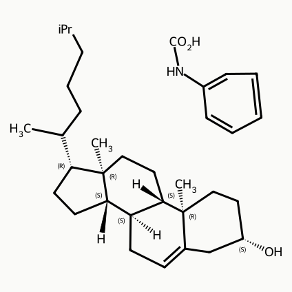 CC(C)CCCC(C)[C@H]1CC[C@H]2[C@@H]3CC=C4C[C@@H](O)CC[C@]4(C)[C@H]3CC[C@]12C.O=C(O)Nc1ccccc1